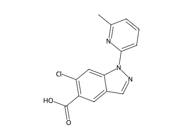 Cc1cccc(-n2ncc3cc(C(=O)O)c(Cl)cc32)n1